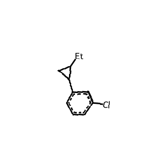 CCC1CC1c1cccc(Cl)c1